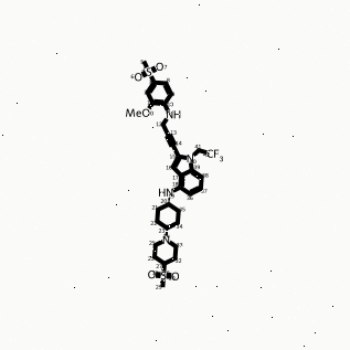 COc1cc(S(C)(=O)=O)ccc1NCC#Cc1cc2c(N[C@H]3CC[C@H](N4CCC(S(C)(=O)=O)CC4)CC3)cccc2n1CC(F)(F)F